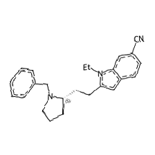 CCn1c(CC[C@@H]2CCCN2Cc2ccccc2)cc2ccc(C#N)cc21